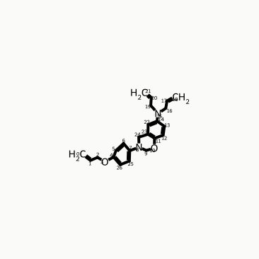 C=CCOc1ccc(N2COc3ccc(N(CC=C)CC=C)cc3C2)cc1